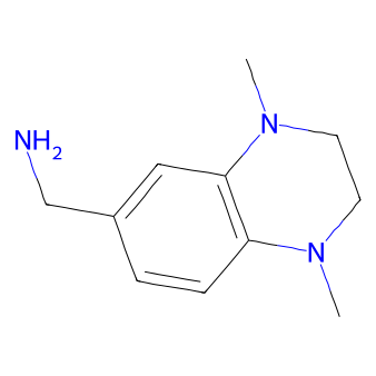 CN1CCN(C)c2cc(CN)ccc21